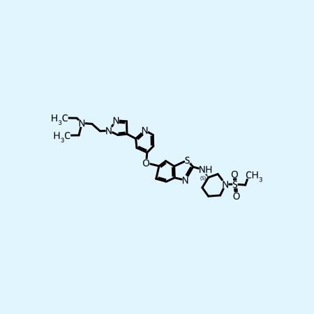 CCN(CC)CCn1cc(-c2cc(Oc3ccc4nc(N[C@H]5CCCN(S(=O)(=O)CC)C5)sc4c3)ccn2)cn1